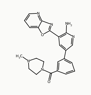 CN1CCN(C(=O)c2cccc(-c3cnc(N)c(-c4nc5ncccc5o4)c3)c2)CC1